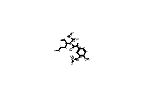 CCCCC(CC)N(C(=O)C(C)c1ccc(OC)c(N=S(=O)=O)c1)C(=S)NC